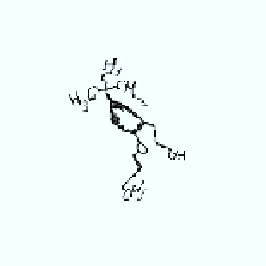 CCCCOc1ccc(C(C)(C)C)cc1CCCO